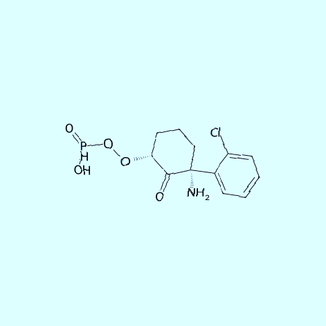 N[C@@]1(c2ccccc2Cl)CCC[C@@H](OO[PH](=O)O)C1=O